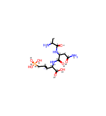 CC(N)C(=O)NC(CC(N)=O)C(=O)NC(/C=C/CP(=O)(O)O)C(=O)O